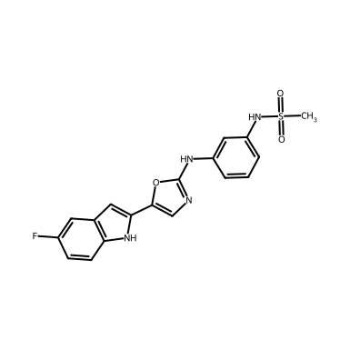 CS(=O)(=O)Nc1cccc(Nc2ncc(-c3cc4cc(F)ccc4[nH]3)o2)c1